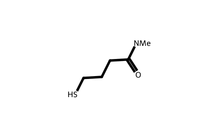 [CH2]NC(=O)CCCS